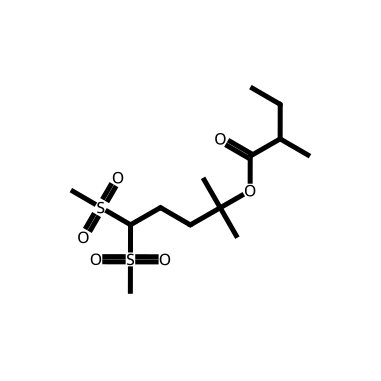 CCC(C)C(=O)OC(C)(C)CCC(S(C)(=O)=O)S(C)(=O)=O